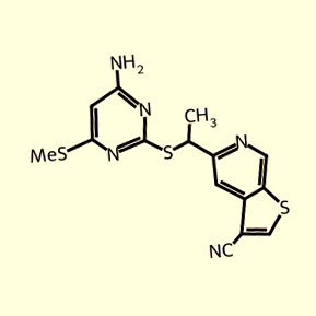 CSc1cc(N)nc(SC(C)c2cc3c(C#N)csc3cn2)n1